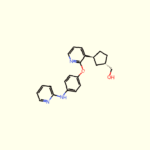 OC[C@H]1CC[C@H](c2cccnc2Oc2ccc(Nc3ccccn3)cc2)C1